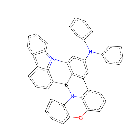 c1ccc(N(c2ccccc2)c2cc3c4c(c2)-n2c5ccccc5c5cccc(c52)B4N2c4ccccc4Oc4cccc-3c42)cc1